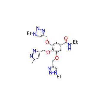 CCNC(=O)c1cc(OCc2cn(CC)nn2)c(OCC2=CC(C)N=N2)c(OCc2cn(CC)nn2)c1